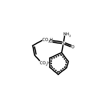 NS(=O)(=O)c1ccccc1.O=C(O)/C=C\C(=O)O